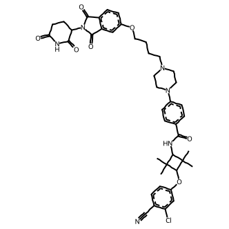 CC1(C)C(NC(=O)c2ccc(N3CCN(CCCCOc4ccc5c(c4)C(=O)N(C4CCC(=O)NC4=O)C5=O)CC3)cc2)C(C)(C)C1Oc1ccc(C#N)c(Cl)c1